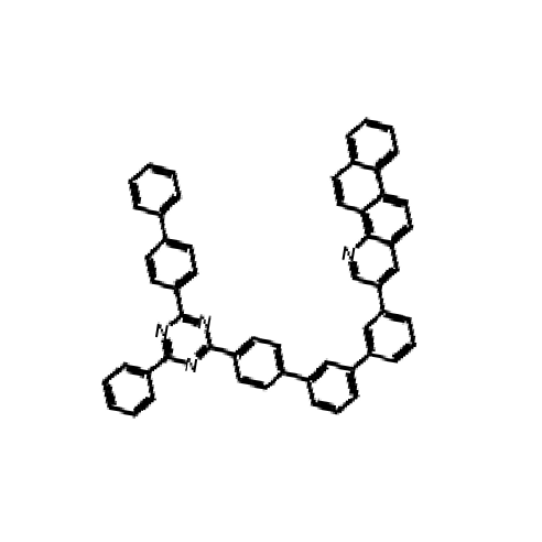 c1ccc(-c2ccc(-c3nc(-c4ccccc4)nc(-c4ccc(-c5cccc(-c6cccc(-c7cnc8c(ccc9c%10ccccc%10ccc98)c7)c6)c5)cc4)n3)cc2)cc1